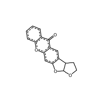 O=c1c2ccccc2oc2cc3c(cc12)C1CCOC1O3